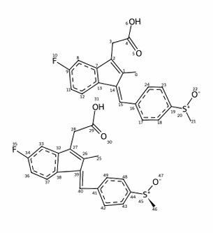 CC1=C(CC(=O)O)c2cc(F)ccc2C1=Cc1ccc([S+](C)[O-])cc1.CC1=C(CC(=O)O)c2cc(F)ccc2C1=Cc1ccc([S@+](C)[O-])cc1